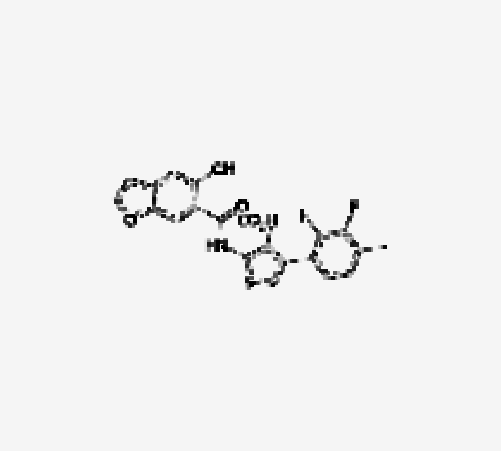 Cc1ccc(-c2csc(NC(=O)c3cc4occc4cc3O)c2C(=O)O)c(F)c1F